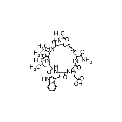 CC(=O)N[C@H]1CSSC[C@@H](C(N)=O)NC(=O)[C@@H](CCC(=O)O)NC(=O)[C@@H](Cc2c[nH]c3ccccc23)NC(=O)[C@H](CC(C)C)NC(=O)C(C(C)C)NC1=O